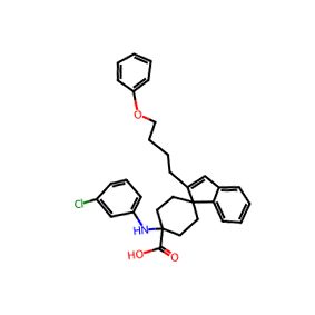 O=C(O)C1(Nc2cccc(Cl)c2)CCC2(CC1)C(CCCCOc1ccccc1)=Cc1ccccc12